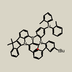 Cc1cc2c3c(c1)-n1c4c(c5cccc(c51)B3c1ccc(N(c3ccccc3C)c3ccccc3C)cc1N2c1ccc(C(C)(C)C)cc1-c1ccccc1)C(C)(C)c1ccccc1-4